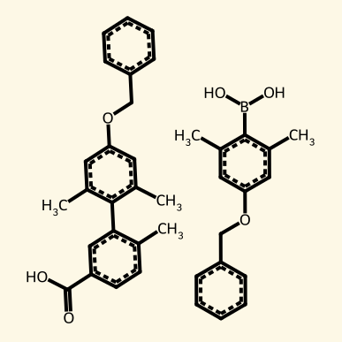 Cc1cc(OCc2ccccc2)cc(C)c1B(O)O.Cc1ccc(C(=O)O)cc1-c1c(C)cc(OCc2ccccc2)cc1C